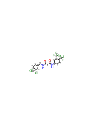 O=C(CC(=O)Nc1ccc(C(F)(F)F)c(C(F)(F)F)c1)NCc1ccc(Cl)c(Cl)c1